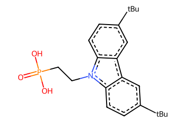 CC(C)(C)c1ccc2c(c1)c1cc(C(C)(C)C)ccc1n2CCP(=O)(O)O